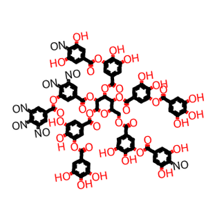 O=Nc1cc(C(=O)Oc2cc(C(=O)OC3C(OC(=O)c4cc(O)c(O)c(OC(=O)c5cc(O)c(O)c(O)c5)c4)OC(COC(=O)c4cc(O)c(O)c(OC(=O)c5cc(O)c(N=O)c(O)c5)c4)C(OC(=O)c4cc(O)c(O)c(OC(=O)c5cc(O)c(O)c(O)c5)c4)C3OC(=O)c3cc(O)c(O)c(OC(=O)c4cc(O)c(N=O)c(O)c4)c3)cc(N=O)c2N=O)cc(N=O)c1N=O